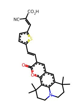 CC1(C)CCN2CCC(C)(C)c3c2c1cc1cc(/C=C/c2ccc(/C=C(\C#N)C(=O)O)s2)c(=O)oc31